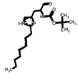 CCCCCCCCc1nc(CC([C]=O)NC(=O)OC(C)(C)C)c[nH]1